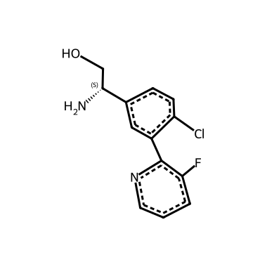 N[C@H](CO)c1ccc(Cl)c(-c2ncccc2F)c1